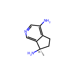 C[C@@]1(N)CCc2c(N)cncc21